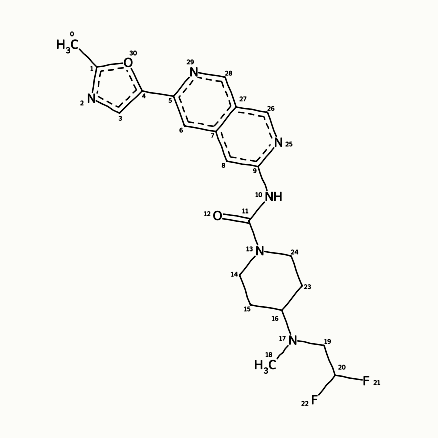 Cc1ncc(-c2cc3cc(NC(=O)N4CCC(N(C)CC(F)F)CC4)ncc3cn2)o1